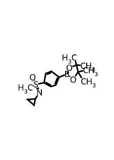 CC1(C)OB(c2ccc(S(C)(=O)=NC3CC3)cc2)OC1(C)C